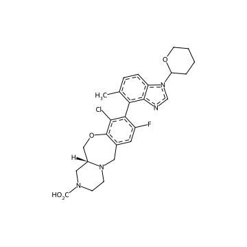 Cc1ccc2c(ncn2C2CCCCO2)c1-c1c(F)cc2c(c1Cl)OC[C@H]1CN(C(=O)O)CCN1C2